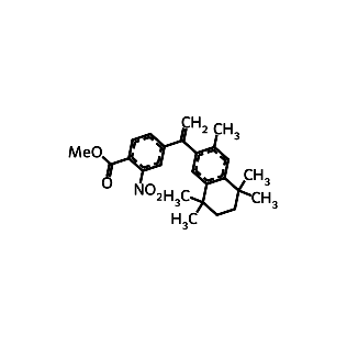 C=C(c1ccc(C(=O)OC)c([N+](=O)[O-])c1)c1cc2c(cc1C)C(C)(C)CCC2(C)C